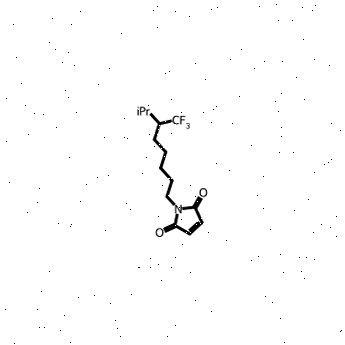 CC(C)C(CCCCCN1C(=O)C=CC1=O)C(F)(F)F